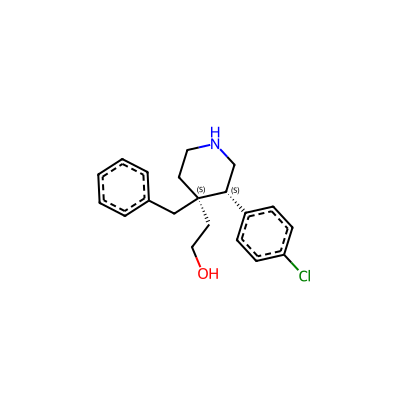 OCC[C@]1(Cc2ccccc2)CCNC[C@@H]1c1ccc(Cl)cc1